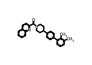 Cc1cccc(-c2ccc(C3CCN(C(=O)c4ccc5ccccc5n4)CC3)cc2)c1C